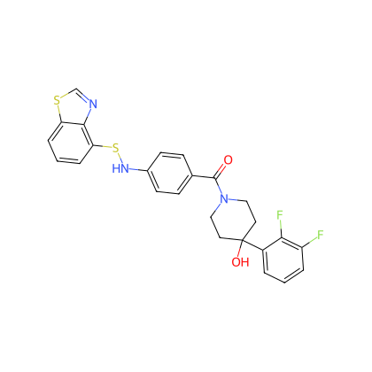 O=C(c1ccc(NSc2cccc3scnc23)cc1)N1CCC(O)(c2cccc(F)c2F)CC1